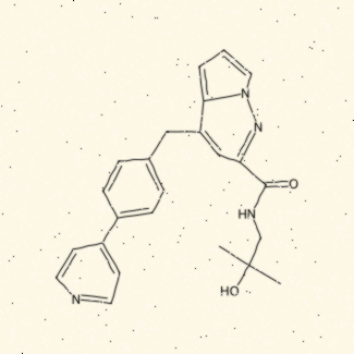 CC(C)(O)CNC(=O)c1cc(Cc2ccc(-c3ccncc3)cc2)c2cccn2n1